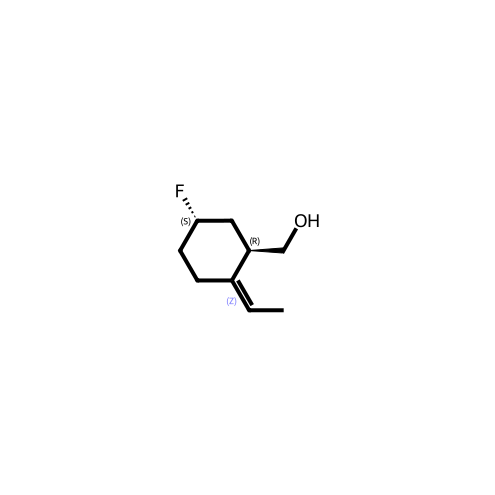 C/C=C1/CC[C@H](F)C[C@H]1CO